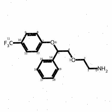 NCCOCC(Oc1ccc(C(F)(F)F)cc1)c1ccccc1